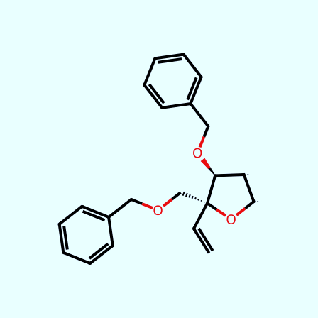 C=C[C@]1(COCc2ccccc2)O[CH][CH][C@@H]1OCc1ccccc1